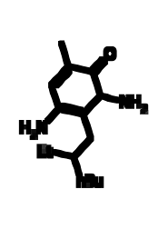 CCCCC(CC)CC1=C(N)C=C(C)C(=O)C1N